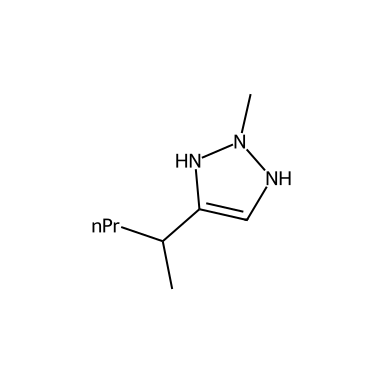 CCCC(C)C1=CNN(C)N1